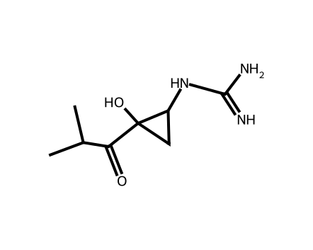 CC(C)C(=O)C1(O)CC1NC(=N)N